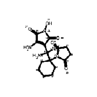 NC1=C(C(N)(N)C2(N3C(=O)CCC3=O)CCCCC2)C(=O)N(O)C1=O